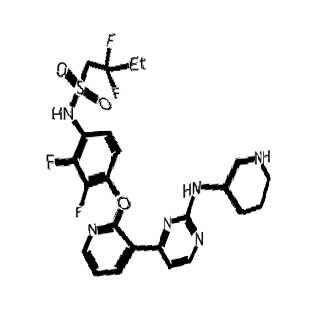 CCC(F)(F)CS(=O)(=O)Nc1ccc(Oc2ncccc2-c2ccnc(NC3CCCNC3)n2)c(F)c1F